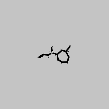 C=CCN(C)C1CCCCC(C)C1